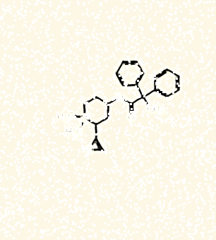 CC(C(=O)OC1CC[N+](C)(C)C(C2=CO2)C1)(c1ccccc1)c1ccccc1